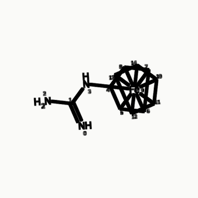 N=C(N)N[C]12[CH]3[CH]4[CH]5[CH]1[Fe]45321678[CH]2[CH]1[CH]6[CH]7[CH]28